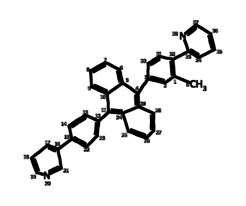 Cc1cc(-c2c3ccccc3c(-c3ccc(-c4cccnc4)cc3)c3ccccc23)ccc1-c1ccccn1